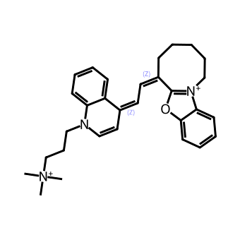 C[N+](C)(C)CCCN1C=C/C(=C/C=C2/CCCCC[n+]3c2oc2ccccc23)c2ccccc21